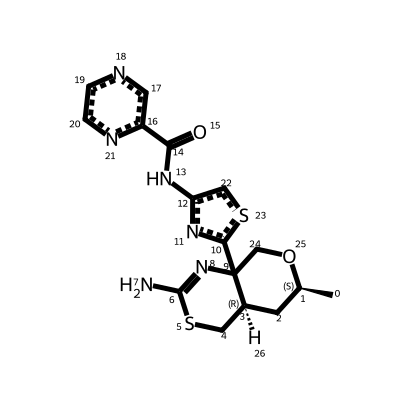 C[C@H]1C[C@H]2CSC(N)=NC2(c2nc(NC(=O)c3cnccn3)cs2)CO1